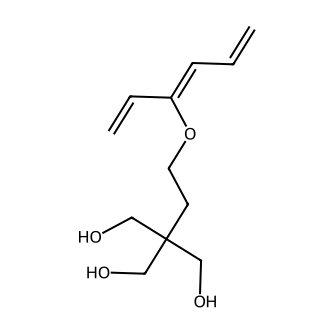 C=CC=C(C=C)OCCC(CO)(CO)CO